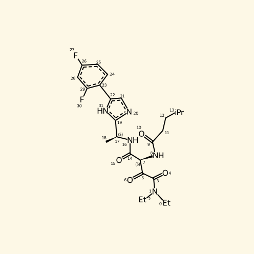 CCN(CC)C(=O)C(=O)[C@H](NC(=O)CCC(C)C)C(=O)N[C@@H](C)c1ncc(-c2ccc(F)cc2F)[nH]1